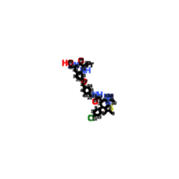 Cc1sc2c(c1C)C(c1ccc(Cl)cc1)C[C@@H](CC(=O)NCc1ccc(COc3ccc4c(c3)NC(C(C)C)C(=O)N[C@H](CO)C4)cc1)c1nnc(C)n1-2